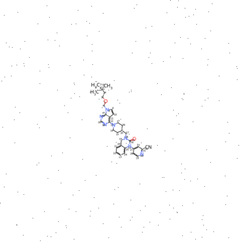 C[Si](C)(C)CCOCn1ccc2c(N3CCC(CN4Cc5ccccc5N(c5ccnc(C#N)c5)C4=O)CC3)ncnc21